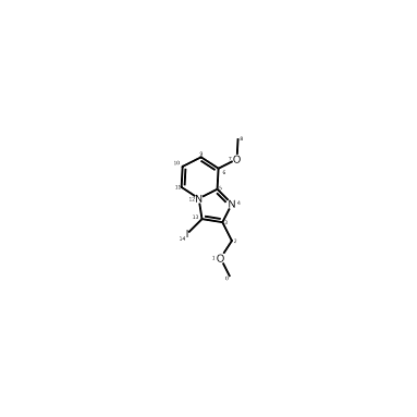 COCc1nc2c(OC)cccn2c1I